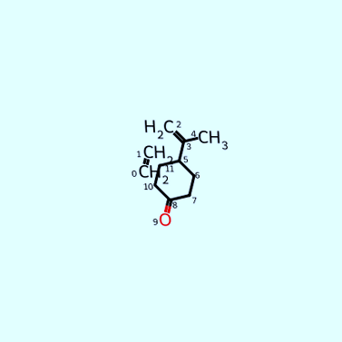 C=C.C=C(C)C1CCC(=O)CC1